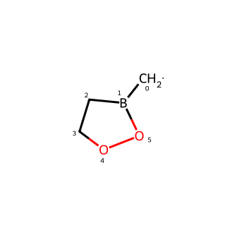 [CH2]B1CCOO1